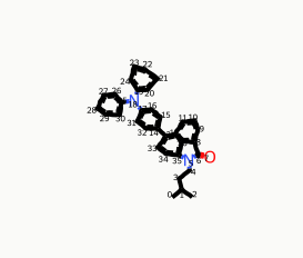 CC(C)CCN1C(=O)c2cccc3c(-c4ccc(N(c5ccccc5)c5ccccc5)cc4)ccc1c23